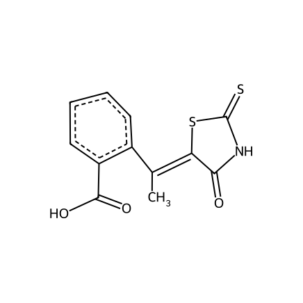 CC(=C1SC(=S)NC1=O)c1ccccc1C(=O)O